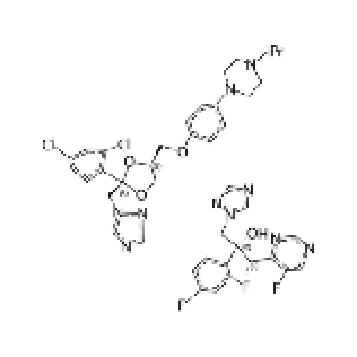 CC(C)N1CCN(c2ccc(OC[C@H]3CO[C@](Cn4cncn4)(c4ccc(Cl)cc4Cl)O3)cc2)CC1.C[C@@H](c1ncncc1F)[C@](O)(Cn1cncn1)c1ccc(F)cc1F